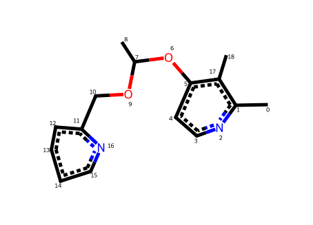 Cc1nccc(OC(C)OCc2ccccn2)c1C